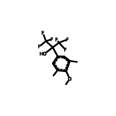 COc1c(C)cc(C(O)(C(F)(F)F)C(F)(F)F)cc1C